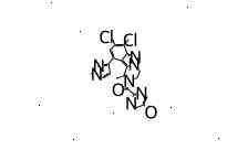 COc1cnc(C(=O)N2CCn3nc4c(Cl)c(Cl)cc(-c5ccn(C)n5)c4c3[C@@H]2C)nc1